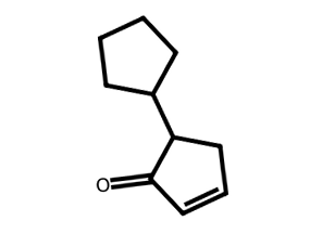 O=C1C=CCC1C1CCCC1